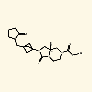 CCCCOC(=O)N1CCN2C(=O)N(C34CC(CN5CCCC5=O)(C3)C4)C[C@@H]2C1